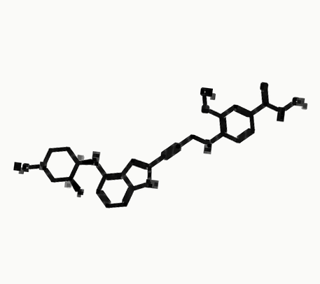 CNC(=O)c1ccc(NCC#Cc2cc3c(N[C@@H]4CCN(C)C[C@@H]4F)cccc3[nH]2)c(OC)c1